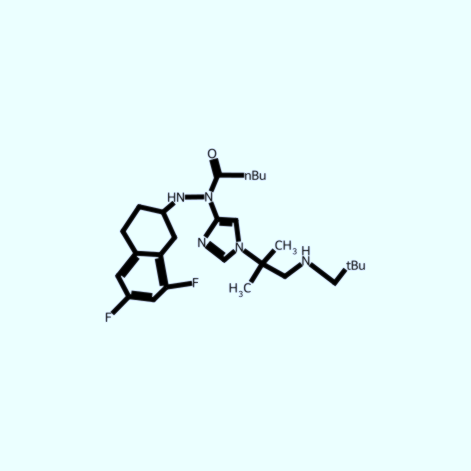 CCCCC(=O)N(NC1CCc2cc(F)cc(F)c2C1)c1cn(C(C)(C)CNCC(C)(C)C)cn1